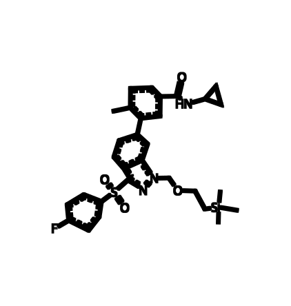 Cc1ccc(C(=O)NC2CC2)cc1-c1ccc2c(S(=O)(=O)c3ccc(F)cc3)nn(COCC[Si](C)(C)C)c2c1